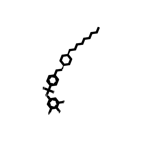 CCCCCCCCC[C@H]1CC[C@H](CCc2ccc(C(F)(F)Oc3cc(F)c(F)c(F)c3)cc2)CC1